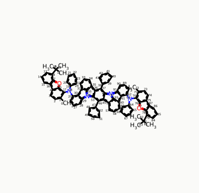 Cc1ccc2c(oc3c(C(C)(C)C)cccc32)c1N(c1ccccc1)c1cccc2c1c1cccc3c4c(-c5ccccc5)c5c(c(-c6ccccc6)c4n2c13)c1cccc2c3c(N(c4ccccc4)c4c(C)ccc6c4oc4c(C(C)(C)C)cccc46)cccc3n5c21